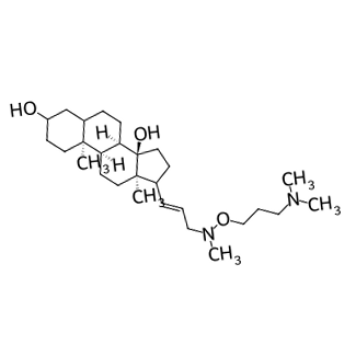 CN(C)CCCON(C)C/C=C/C1CC[C@@]2(O)[C@@H]3CCC4CC(O)CC[C@]4(C)[C@@H]3CC[C@]12C